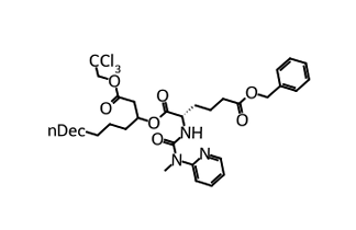 CCCCCCCCCCCCCC(CC(=O)OCC(Cl)(Cl)Cl)OC(=O)[C@H](CCCC(=O)OCc1ccccc1)NC(=O)N(C)c1ccccn1